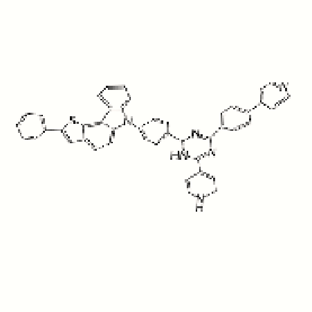 C1=CC(C2=NC(c3ccc(-c4ccncc4)cc3)=NC(c3ccc(-n4c5ccccc5c5c6sc(-c7ccccc7)cc6ccc54)cc3)N2)=CCN1